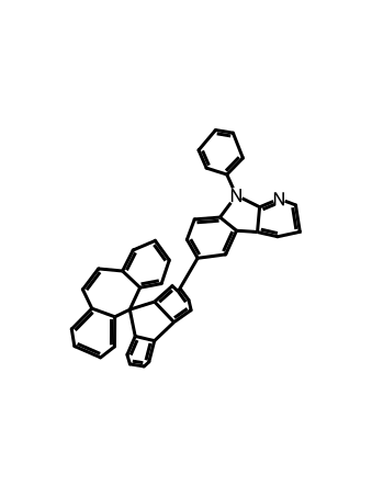 C1=Cc2ccccc2C2(c3ccccc31)c1ccccc1-c1ccc(-c3ccc4c(c3)c3cccnc3n4-c3ccccc3)cc12